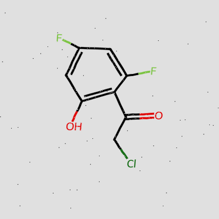 O=C(CCl)c1c(O)cc(F)cc1F